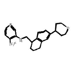 O=C(O)c1ccncc1NCC1CCCc2cc(C3CCOCC3)ccc21